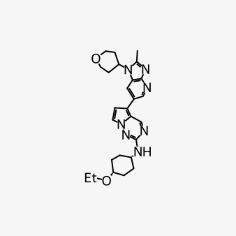 CCO[C@H]1CC[C@H](Nc2ncc3c(-c4cnc5nc(C)n(C6CCOCC6)c5c4)ccn3n2)CC1